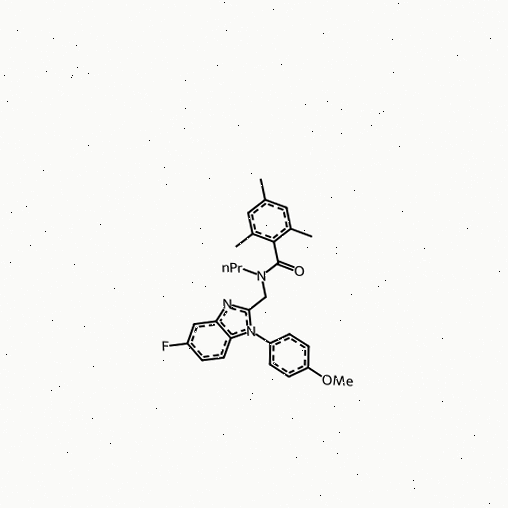 CCCN(Cc1nc2cc(F)ccc2n1-c1ccc(OC)cc1)C(=O)c1c(C)cc(C)cc1C